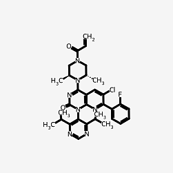 C=CC(=O)N1C[C@H](C)N(c2nc(=O)n(-c3c(C(C)C)ncnc3C(C)C)c3nc(-c4ccccc4F)c(Cl)cc23)[C@@H](C)C1